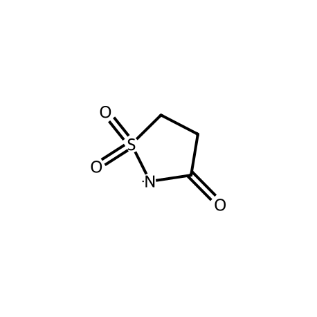 O=C1CCS(=O)(=O)[N]1